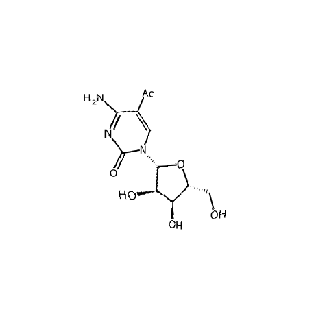 CC(=O)c1cn([C@@H]2O[C@H](CO)[C@@H](O)[C@H]2O)c(=O)nc1N